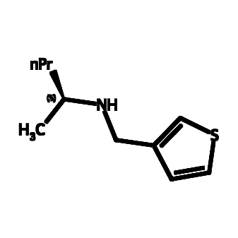 CCC[C@H](C)NCc1ccsc1